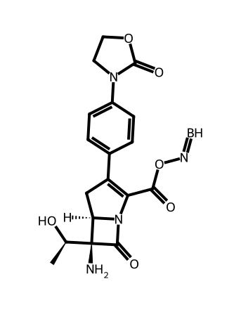 B=NOC(=O)C1=C(c2ccc(N3CCOC3=O)cc2)C[C@H]2N1C(=O)[C@]2(N)[C@@H](C)O